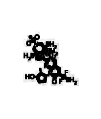 BC(F)(F)c1cc2cnc(NC3(B)C(B)(B)CN(S(C)(=O)=O)CC3(B)B)nc2n([C@@H]2CC[C@@H](O)[C@H]2C)c1=O